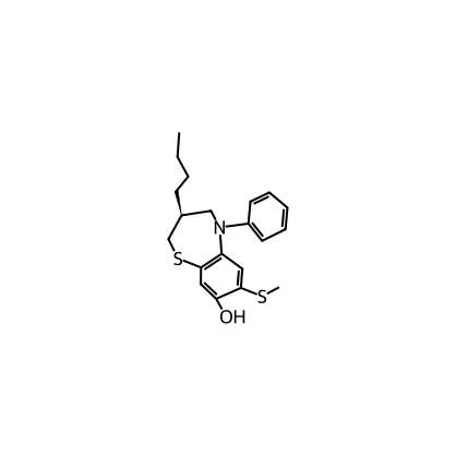 CCCC[C@@H]1CSc2cc(O)c(SC)cc2N(c2ccccc2)C1